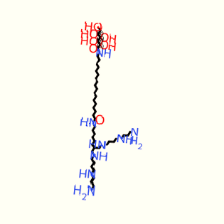 NCCCNCCCCNCC(CCCCCCNC(=O)CCCCCCCCCCCCCCCCCNC(=O)[C@@H](O)[C@@H](O)[C@@H](O)[C@H](O)CO)CNCCCCNCCCN